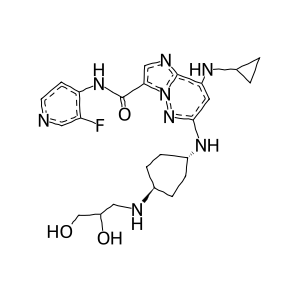 O=C(Nc1ccncc1F)c1cnc2c(NC3CC3)cc(N[C@H]3CC[C@H](NCC(O)CO)CC3)nn12